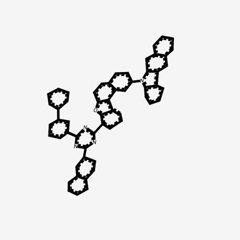 c1ccc(-c2cccc(-c3nc(-c4ccc5ccccc5c4)nc(-c4cccc5c4oc4ccc6ccc(-n7c8ccccc8c8cc9ccccc9cc87)cc6c45)n3)c2)cc1